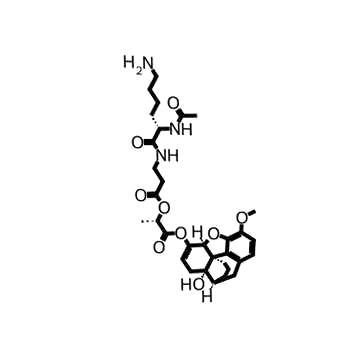 COc1ccc2c3c1O[C@@H]1C(OC(=O)[C@H](C)OC(=O)CCNC(=O)[C@H](CCCCN)NC(C)=O)=CC[C@]4(O)[C@@H](CCC[C@@]314)C2